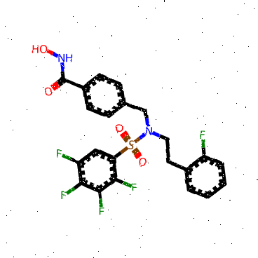 O=C(NO)c1ccc(CN(CCc2ccccc2F)S(=O)(=O)c2cc(F)c(F)c(F)c2F)cc1